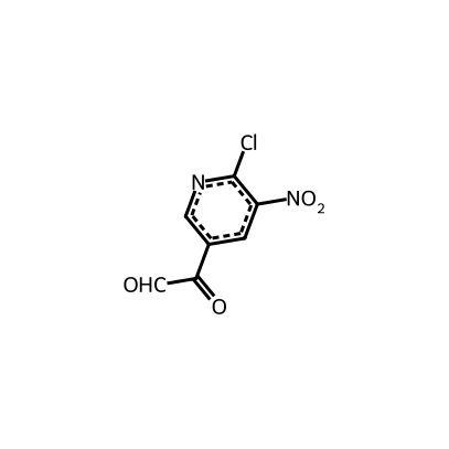 O=CC(=O)c1cnc(Cl)c([N+](=O)[O-])c1